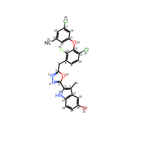 Cc1c(-c2nnc(Cc3ccc(Cl)c(Oc4cc(Cl)cc(C#N)c4)c3F)o2)[nH]c2ccc(Br)cc12